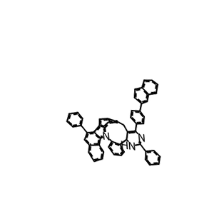 c1ccc(C2=NC(c3ccc(-c4ccc5ccccc5c4)cc3)=C3Cc4ccc5c6c(-c7ccccc7)cc7ccccc7c6n(c5c4)-c4ccccc4C3N2)cc1